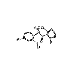 CCOc1cc(Br)ccc1N(C)C(=O)c1c(F)cccc1Cl